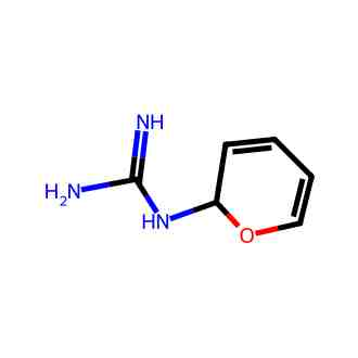 N=C(N)NC1C=CC=CO1